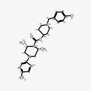 C[C@@H]1CN(c2cnc(C(F)(F)F)cn2)C[C@H](C)N1C(=O)OC1CCN(Cc2ccc(Cl)cc2)CC1